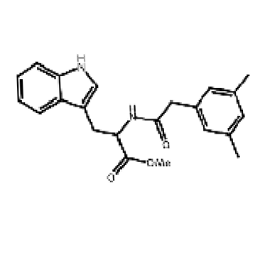 COC(=O)C(Cc1c[nH]c2ccccc12)NC(=O)Cc1cc(C)cc(C)c1